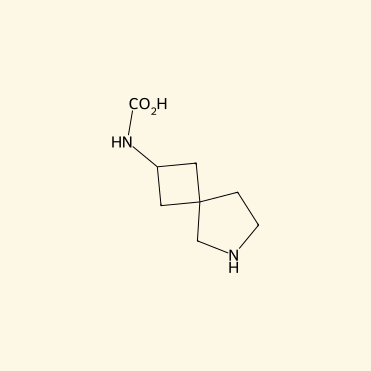 O=C(O)NC1CC2(CCNC2)C1